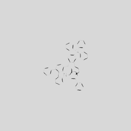 c1ccc(-c2cccc(-n3c4ccccc4c4c(-c5ccccc5)ccc(C5c6ccccc6-c6cc([Si](c7ccccc7)(c7ccccc7)c7ccccc7)ccc65)c43)c2)cc1